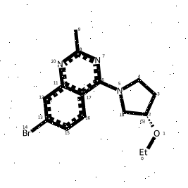 CCO[C@H]1CCN(c2nc(C)nc3cc(Br)ccc23)C1